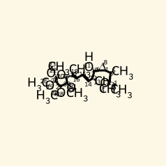 CC[C@H](OC)[C@@H](C)[C@@H]1C[C@H]1[C@@H](O)[C@H](C)/C=C/C=C(\C)[C@@H]1O[C@H](OC)[C@H](OC)[C@@H](OC)[C@@H]1OC